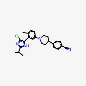 Cc1ccc(N2CCC(c3ccc(C#N)cc3)CC2)cc1-c1[nH]c(C(C)C)nc1Cl